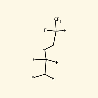 CCC(F)C(F)(F)[CH]CC(F)(F)C(F)(F)F